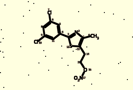 Cc1nc(-c2cc(Cl)cc(Cl)c2)sc1CCO[N+](=O)[O-]